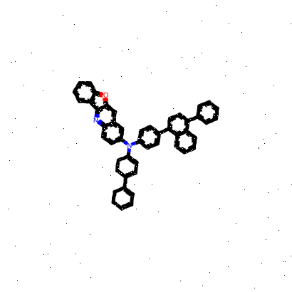 C1=CCCC(C2=CC=C(N(c3ccc(-c4ccc(-c5ccccc5)c5ccccc45)cc3)c3ccc4nc5c(cc4c3)oc3ccccc35)CC2)=C1